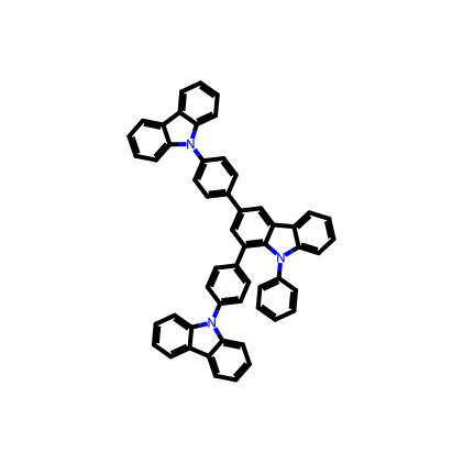 c1ccc(-n2c3ccccc3c3cc(-c4ccc(-n5c6ccccc6c6ccccc65)cc4)cc(-c4ccc(-n5c6ccccc6c6ccccc65)cc4)c32)cc1